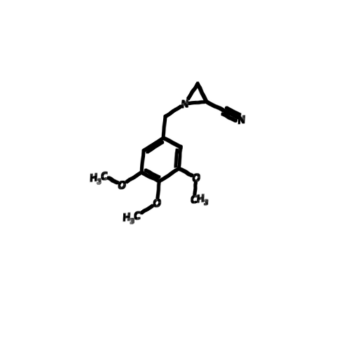 COc1cc(CN2CC2C#N)cc(OC)c1OC